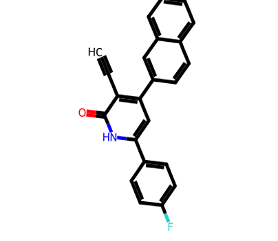 C#Cc1c(-c2ccc3ccccc3c2)cc(-c2ccc(F)cc2)[nH]c1=O